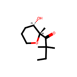 CCC(C)(C)C(=O)[C@]1(C)OCCC[C@@H]1O